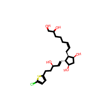 OCC(O)CCC/C=C\C[C@@H]1[C@@H](C=C[C@H](O)CCc2ccc(Cl)s2)[C@H](O)C[C@@H]1O